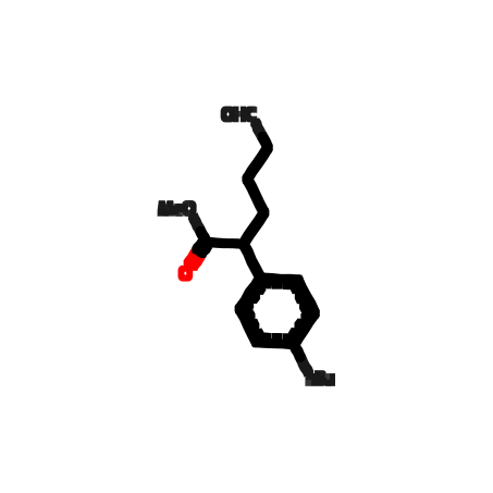 CCCCc1ccc(C(CCCC=O)C(=O)OC)cc1